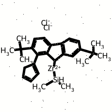 C[SiH](C)[Zr+2][CH]1c2cc(C(C)(C)C)ccc2-c2ccc(C(C)(C)C)c(C3=CC=CC3)c21.[Cl-].[Cl-]